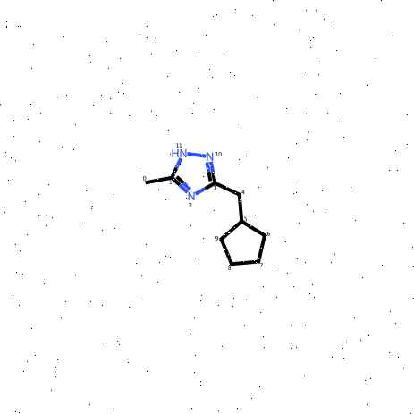 Cc1nc(CC2CCCC2)n[nH]1